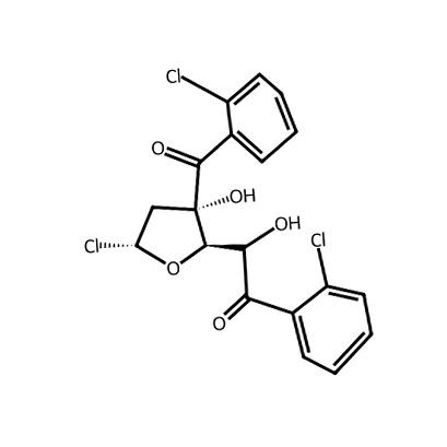 O=C(c1ccccc1Cl)C(O)[C@H]1O[C@H](Cl)C[C@@]1(O)C(=O)c1ccccc1Cl